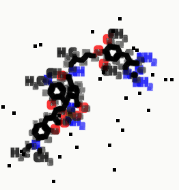 CCN(CC)c1ccc2cc(C3=CC4(c5ccc(N(C)C)cc5O3)c3cc(C(=O)NCC(C)CCCOc5c(OC)cc(Cc6cnc(N)nc6N)cc5OC)ccc3C(=O)N4S(N)(=O)=O)c(=O)oc2c1